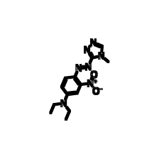 CCN(CC)c1ccc(N=Nc2nncn2C)c([N+](=O)[O-])c1